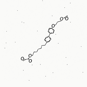 O=C(OCCCCCCCc1ccc(-c2ccc(OCCCOC3CO3)cc2)cc1)C1CO1